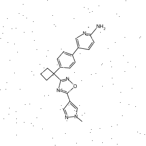 Cn1cc(-c2nc(C3(c4ccc(-c5ccc(N)nc5)cc4)CCC3)no2)cn1